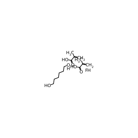 C=C(C)C(=O)O.C=C(C)C(=O)O.F.OCCCCCCO